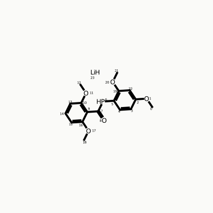 COc1ccc(PC(=O)c2c(OC)cccc2OC)c(OC)c1.[LiH]